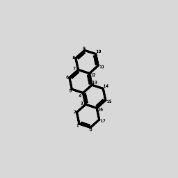 C1=CCC2=C3CC=c4ccccc4=C3CC=C2C1